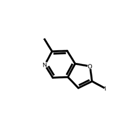 Cc1cc2oc(I)cc2cn1